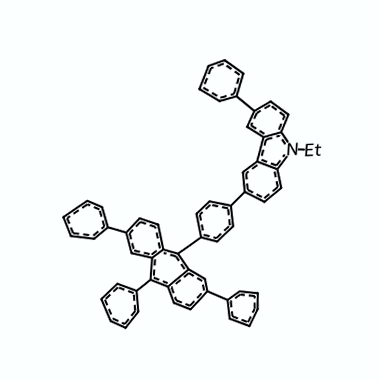 CCn1c2ccc(-c3ccccc3)cc2c2cc(-c3ccc(-c4c5ccc(-c6ccccc6)cc5c(-c5ccccc5)c5ccc(-c6ccccc6)cc45)cc3)ccc21